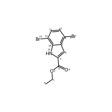 CCOC(=O)c1cc2c(Br)ccc(Br)c2[nH]1